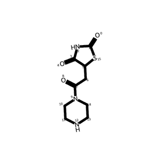 O=C1NC(=O)C(CC(=O)N2CCNCC2)S1